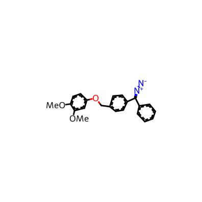 COc1ccc(OCc2ccc(C(=[N+]=[N-])c3ccccc3)cc2)cc1OC